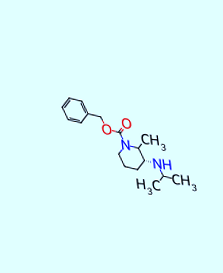 CC(C)N[C@@H]1CCCN(C(=O)OCc2ccccc2)C1C